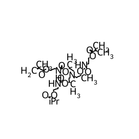 C=C(C)C(=O)OCCNC(=O)OC(C)CN(CC(C)OC(=O)NCCOC(=O)C(=C)C)CC(C)OC(=O)NCCOC(=O)C(C)C